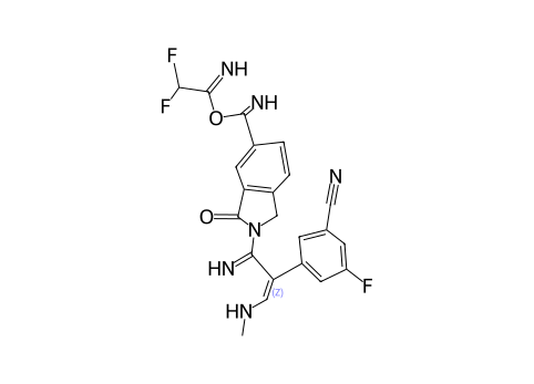 CN/C=C(\C(=N)N1Cc2ccc(C(=N)OC(=N)C(F)F)cc2C1=O)c1cc(F)cc(C#N)c1